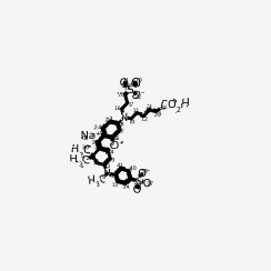 CN(C1=Cc2[o+]c3cc(N(CCCCCC(=O)O)CCCS(=O)(=O)[O-])ccc3cc2C(C)(C)C1)c1ccc(S(=O)(=O)[O-])cc1.[Na+]